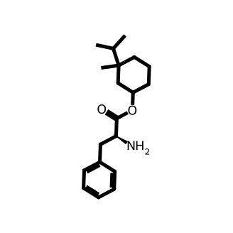 CC(C)C1(C)CCCC(OC(=O)[C@@H](N)Cc2ccccc2)C1